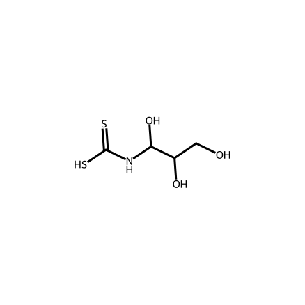 OCC(O)C(O)NC(=S)S